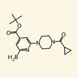 Bc1cc(C(=O)OC(C)(C)C)cc(N2CCN(C(=O)C3CC3)CC2)n1